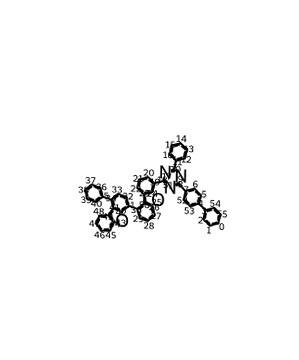 c1ccc(-c2ccc(-c3nc(-c4ccccc4)nc(-c4cccc5c4oc4cccc(-c6ccc(-c7ccccc7)c7c6oc6ccccc67)c45)n3)cc2)cc1